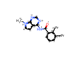 CC(C)c1cccc(C(=O)Nc2ncnc3c2ccn3C)c1C(C)C